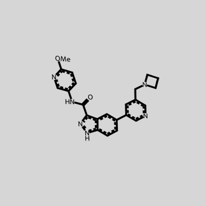 COc1ccc(NC(=O)c2n[nH]c3ccc(-c4cncc(CN5CCC5)c4)cc23)cn1